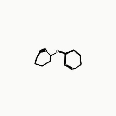 C1=CC(OC2C=CCCC2)CCC1